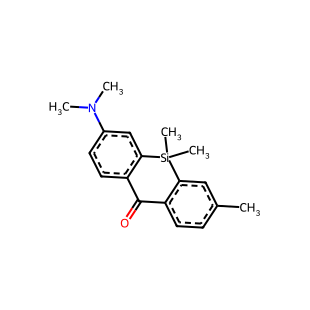 Cc1ccc2c(c1)[Si](C)(C)c1cc(N(C)C)ccc1C2=O